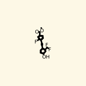 COC(=O)c1ccc(C#Cc2ccc(O)cc2C(F)F)c(F)c1